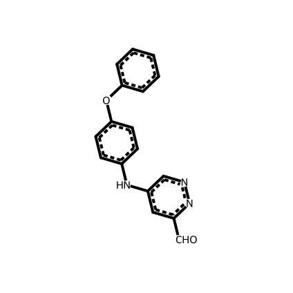 O=Cc1cc(Nc2ccc(Oc3ccccc3)cc2)cnn1